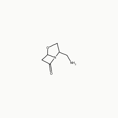 NCC1COC2CC(=O)N12